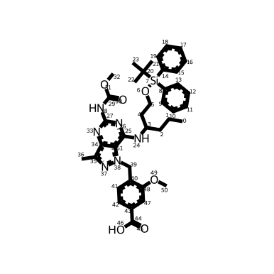 CCCC(CCO[Si](c1ccccc1)(c1ccccc1)C(C)(C)C)Nc1nc(NC(=O)OC)nc2c(C)nn(Cc3ccc(C(=O)O)cc3OC)c12